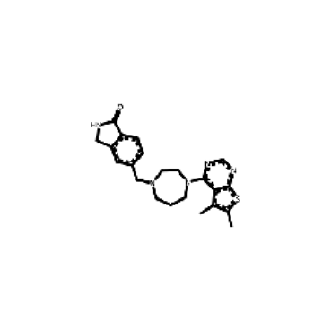 Cc1sc2ncnc(N3CCCN(Cc4ccc5c(c4)CNC5=O)CC3)c2c1C